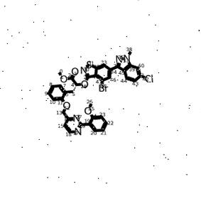 COC(=O)[C@@H](Cc1ccccc1OCc1ccnc(-c2ccccc2OC)n1)Oc1nsc2cc(-c3nn(C)c4cc(Cl)ccc34)cc(Br)c12